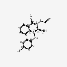 C=CCn1c(=O)c2ccccc2n(Cc2ccc(F)cc2)c1=N